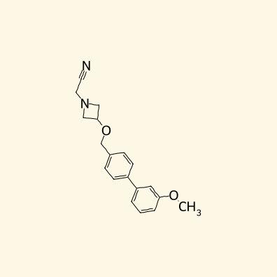 COc1cccc(-c2ccc(COC3CN(CC#N)C3)cc2)c1